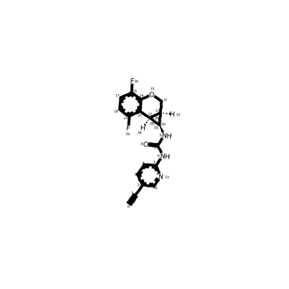 C#Cc1ccc(NC(=O)N[C@@H]2[C@@H]3COc4c(F)ccc(F)c4[C@@H]32)nc1